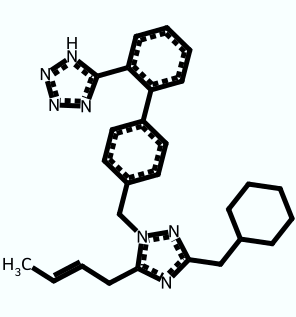 CC=CCc1nc(CC2CCCCC2)nn1Cc1ccc(-c2ccccc2-c2nnn[nH]2)cc1